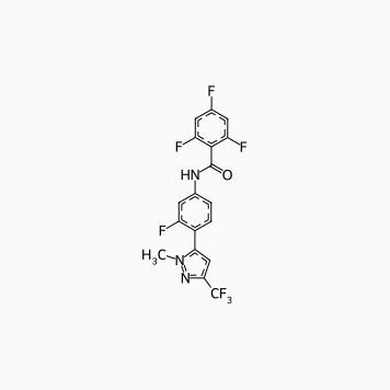 Cn1nc(C(F)(F)F)cc1-c1ccc(NC(=O)c2c(F)cc(F)cc2F)cc1F